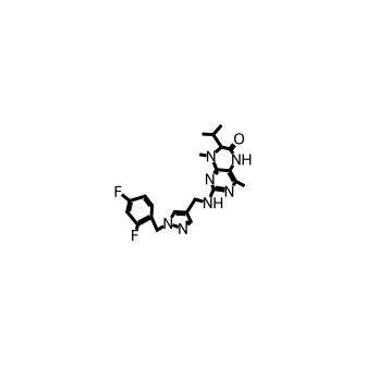 Cc1nc(NCc2cnn(Cc3ccc(F)cc3F)c2)nc2c1NC(=O)C(C(C)C)N2C